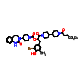 Bc1cc(C[C@@H](OC(=O)N2CCC(N3CCc4ccccc4NC3=O)CC2)C(=O)N2CCC(C3CCN(C(=O)CCC(=O)OCC)CC3)CC2)cc(Br)c1O